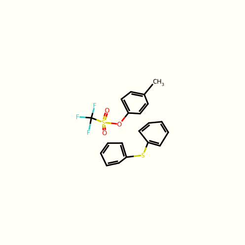 Cc1ccc(OS(=O)(=O)C(F)(F)F)cc1.c1ccc(Sc2ccccc2)cc1